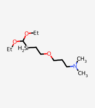 CCOC(OCC)[SiH2]CCOCCCN(C)C